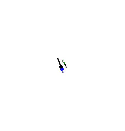 CC#N.[F][K]